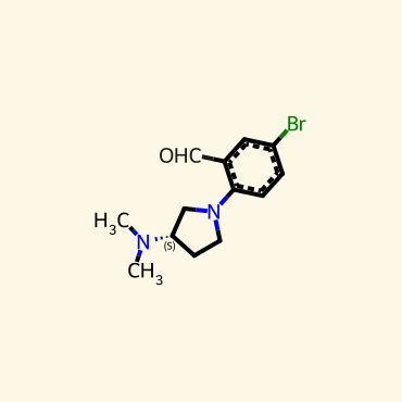 CN(C)[C@H]1CCN(c2ccc(Br)cc2C=O)C1